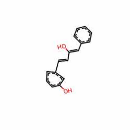 OC(C=Cc1cccc(O)c1)=Cc1ccccc1